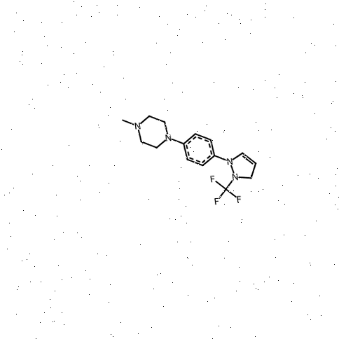 CN1CCN(c2ccc(N3C=CCN3C(F)(F)F)cc2)CC1